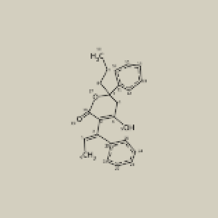 CC=C(C1=C(O)CC(CCC)(c2ccccc2)OC1=O)c1ccccc1